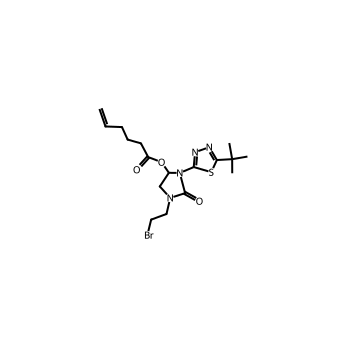 C=CCCCC(=O)OC1CN(CCBr)C(=O)N1c1nnc(C(C)(C)C)s1